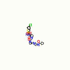 CN(C(=O)C1CCCC1)C1CCN(C[C@@H]2CCCN2C(=O)CN2CCC[C@H](NS(=O)(=O)c3cc4cc(Cl)ccc4s3)C2=O)C1